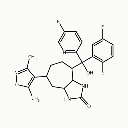 Cc1noc(C)c1C1CCC(C(O)(c2ccc(F)cn2)c2cc(F)ccc2F)C2NC(=O)NC2C1